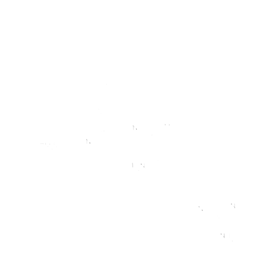 N=C(N)NCCC[C@H](N)C(=O)N(CCc1ccc(Cl)cc1Cl)CC(=O)N(CCc1ccc(Cl)cc1Cl)CC(=O)O